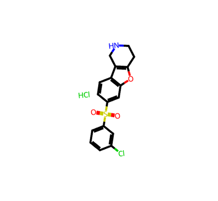 Cl.O=S(=O)(c1cccc(Cl)c1)c1ccc2c3c(oc2c1)CCNC3